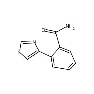 NC(=O)c1ccccc1-c1cscn1